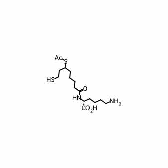 CC(=O)SC(CCS)CCCCC(=O)N[C@@H](CCCCN)C(=O)O